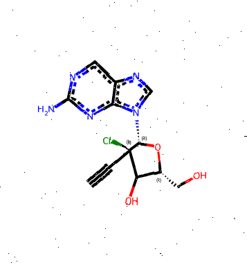 C#C[C@@]1(Cl)C(O)[C@@H](CO)O[C@H]1n1cnc2cnc(N)nc21